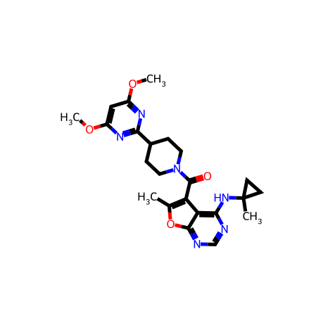 COc1cc(OC)nc(C2CCN(C(=O)c3c(C)oc4ncnc(NC5(C)CC5)c34)CC2)n1